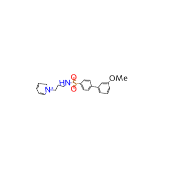 COc1cccc(-c2ccc(S(=O)(=O)NCCC[n+]3ccccc3)cc2)c1